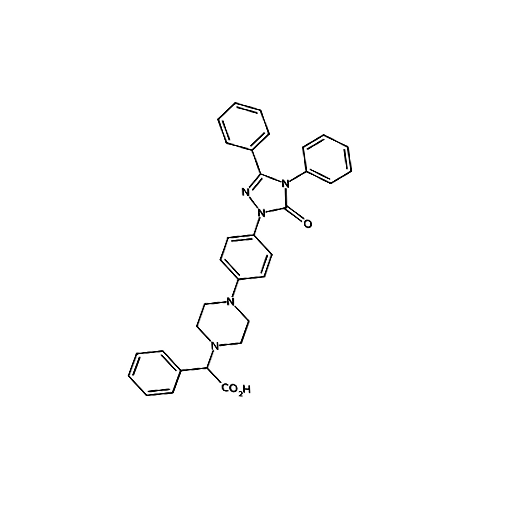 O=C(O)C(c1ccccc1)N1CCN(c2ccc(-n3nc(-c4ccccc4)n(-c4ccccc4)c3=O)cc2)CC1